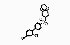 N#Cc1ccc(-c2ccc(S(=O)(=O)CC3CCC4(CC3)OCCO4)cc2)c(Cl)c1